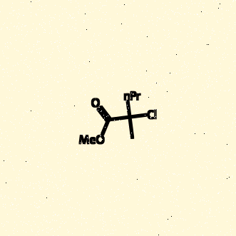 CCCC(C)(Cl)C(=O)OC